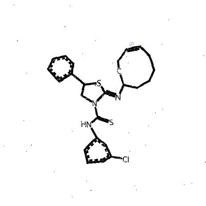 S=C(Nc1cccc(Cl)c1)N1CC(c2ccccc2)SC1=NC1CC/C=C\CCCC1